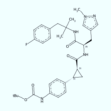 Cn1cc(C[C@@H](NC(=O)[C@H]2C[C@@H]2c2ccc(NC(=O)OC(C)(C)C)cc2)C(=O)NC(C)(C)Cc2ccc(F)cc2)cn1